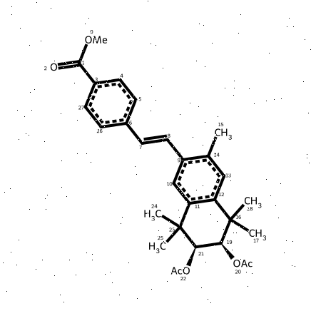 COC(=O)c1ccc(C=Cc2cc3c(cc2C)C(C)(C)[C@@H](OC(C)=O)[C@@H](OC(C)=O)C3(C)C)cc1